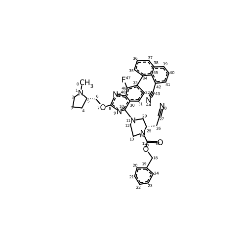 CN1CCC[C@H]1COc1nc(N2CCN(C(=O)OCc3ccccc3)[C@@H](CC#N)C2)c2ccc(-c3cccc4cccc(C#N)c34)c(F)c2n1